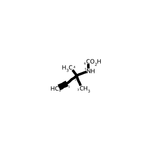 C#CC(C)(C)NC(=O)O